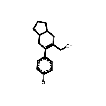 OCC1=C(c2ccc(Cl)cc2)CC2CCCC2C1